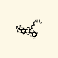 NCCCCCC(Oc1ccc(C(F)(F)F)cc1Cl)c1ccccc1